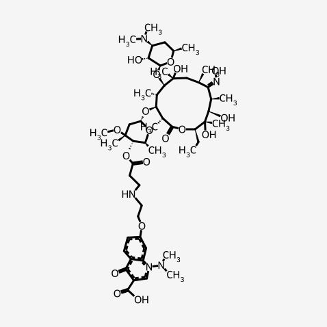 CC[C@H]1OC(=O)[C@H](C)[C@@H](O[C@H]2C[C@@](C)(OC)[C@@H](OC(=O)CCNCCOc3ccc4c(=O)c(C(=O)O)cn(N(C)C)c4c3)[C@H](C)O2)[C@H](C)[C@@H](O[C@@H]2O[C@H](C)C[C@H](N(C)C)[C@H]2O)[C@](C)(O)C[C@@H](C)/C(=N\O)[C@@H](C)[C@@H](O)[C@]1(C)O